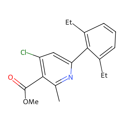 CCc1cccc(CC)c1-c1cc(Cl)c(C(=O)OC)c(C)n1